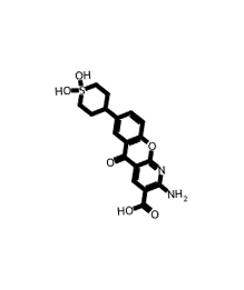 Nc1nc2oc3ccc(C4CCS(O)(O)CC4)cc3c(=O)c2cc1C(=O)O